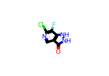 O=c1[nH][nH]c2c(F)c(Cl)ncc12